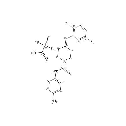 Nc1ccc(NC(=O)N2CCC(=Cc3cc(F)ccc3F)CC2)cc1.O=C(O)C(F)(F)F